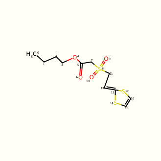 CCCCOC(=O)CS(=O)(=O)CC=C1SC=CS1